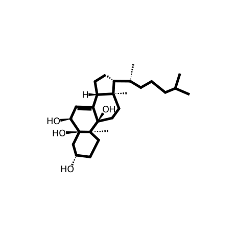 CC(C)CCC[C@@H](C)[C@H]1CC[C@H]2C3=C[C@H](O)[C@@]4(O)C[C@@H](O)CC[C@]4(C)[C@@]3(O)CC[C@]12C